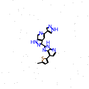 Cc1ccc(-c2ccnc3[nH]c(-c4n[nH]c5cnc(-c6cn[nH]c6)cc45)nc23)s1